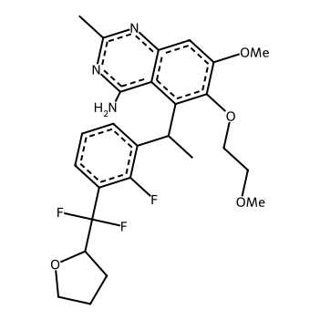 COCCOc1c(OC)cc2nc(C)nc(N)c2c1C(C)c1cccc(C(F)(F)C2CCCO2)c1F